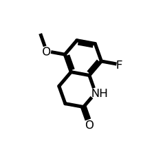 COc1ccc(F)c2c1CCC(=O)N2